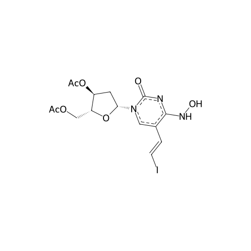 CC(=O)OC[C@H]1O[C@@H](n2cc(C=CI)c(NO)nc2=O)C[C@@H]1OC(C)=O